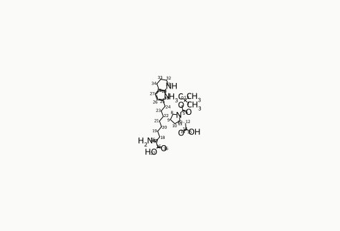 CC(C)(C)OC(=O)N1CCC[C@H]1CC(=O)O.N[C@@H](CCCCCCCc1ccc2c(n1)NCCC2)C(=O)O